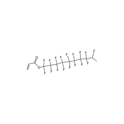 C=CC(=O)OC(F)(F)C(F)(F)C(F)(F)C(F)(F)C(F)(F)C(F)(F)C(F)(F)C(F)(F)C(C)F